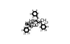 CN(C(=O)[C@H](Cc1ccccc1)NC(=O)NS(=O)(=O)c1ccccc1)c1ccccc1